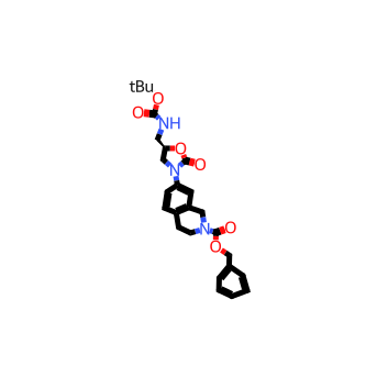 CC(C)(C)OC(=O)NC[C@@H]1CN(c2ccc3c(c2)CN(C(=O)OCc2ccccc2)CC3)C(=O)O1